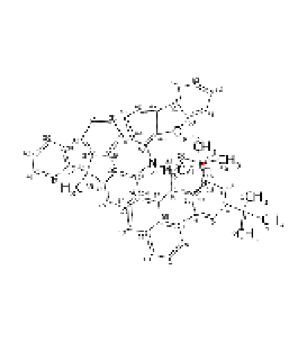 CC(C)(C)c1cc(-c2cccc3cccc(-c4ccccc4N(c4cccc5c4-c4ccccc4C5(C)c4ccccc4)c4cccc5c4oc4ccccc45)c23)cc(C(C)(C)C)c1